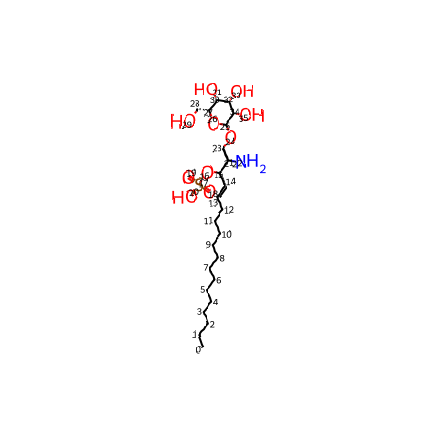 CCCCCCCCCCCCCC=CC(OS(=O)(=O)O)C(N)COC1O[C@H](CO)[C@@H](O)[C@H](O)[C@H]1O